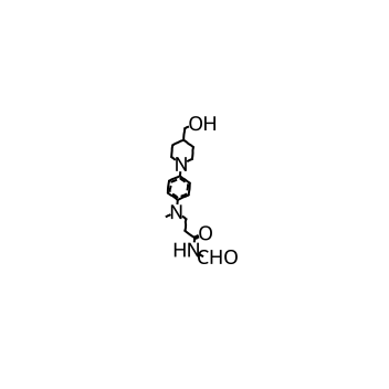 CN(CCC(=O)NC=O)c1ccc(N2CCC(CO)CC2)cc1